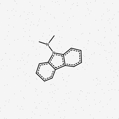 CN(C)n1c2ccccc2c2ccccc21